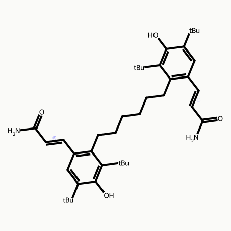 CC(C)(C)c1cc(/C=C/C(N)=O)c(CCCCCCc2c(/C=C/C(N)=O)cc(C(C)(C)C)c(O)c2C(C)(C)C)c(C(C)(C)C)c1O